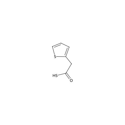 O=C(S)Cc1cccs1